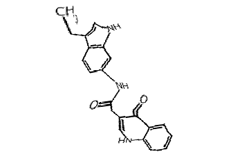 CCc1c[nH]c2cc(NC(=O)c3c[nH]c4ccccc4c3=O)ccc12